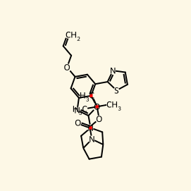 C=CCOc1cc(-c2nccs2)c2oc(N3CC4CCC(C3)N4C(=O)OC(C)(C)C)nc2c1